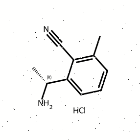 Cc1cccc([C@@H](C)N)c1C#N.Cl